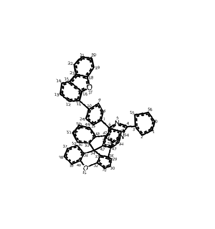 c1ccc(-c2nc(-c3ccc(-c4cccc5c4oc4ccccc45)cc3)nc(-c3cccc4c3C3(c5ccccc5O4)c4ccccc4-c4ccccc43)n2)cc1